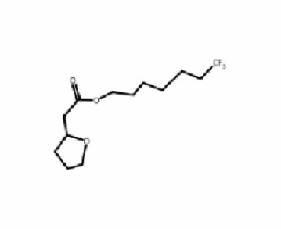 O=C(CC1CCCO1)OCCCCCCC(F)(F)F